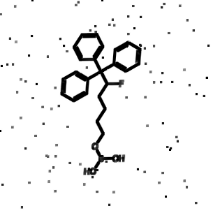 OB(O)OCCCCC(F)C(c1ccccc1)(c1ccccc1)c1ccccc1